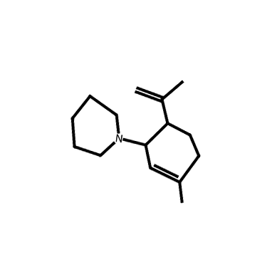 C=C(C)C1CCC(C)=CC1N1CCCCC1